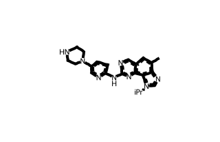 Cc1cc2cnc(Nc3ccc(N4CCNCC4)cn3)nc2c2c1ncn2C(C)C